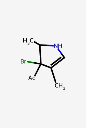 CC(=O)C1(Br)C(C)=CNC1C